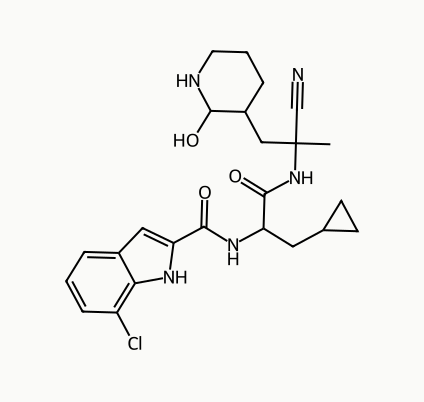 CC(C#N)(CC1CCCNC1O)NC(=O)C(CC1CC1)NC(=O)c1cc2cccc(Cl)c2[nH]1